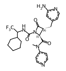 CN(C(=O)[C@@H]1[C@@H](Cc2ccnc(N)c2)C(=O)N1C(=O)NC(C1CCCCC1)C(F)(F)F)c1ccncc1